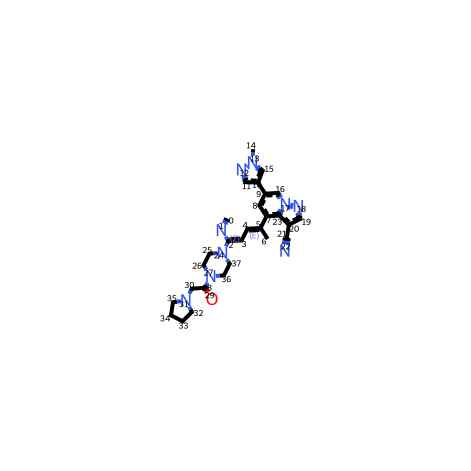 C=N/C(=C\C=C(/C)c1cc(-c2cnn(C)c2)cn2ncc(C#N)c12)N1CCN(C(=O)CN2CCCC2)CC1